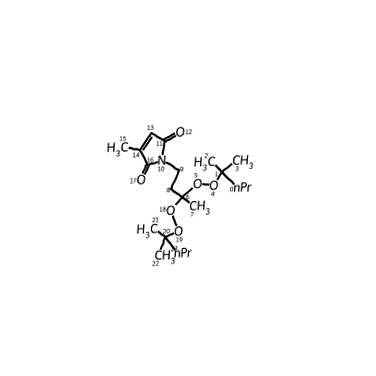 CCCC(C)(C)OOC(C)(CCN1C(=O)C=C(C)C1=O)OOC(C)(C)CCC